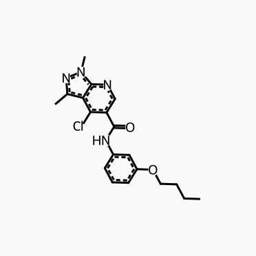 CCCCOc1cccc(NC(=O)c2cnc3c(c(C)nn3C)c2Cl)c1